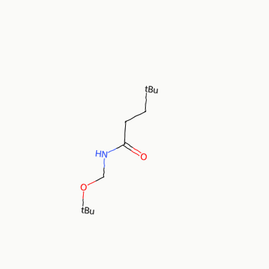 CC(C)(C)CCC(=O)NCOC(C)(C)C